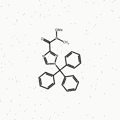 CON(C)C(=O)c1ncn(C(c2ccccc2)(c2ccccc2)c2ccccc2)n1